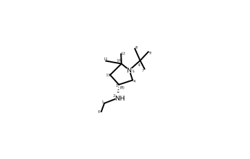 CCN[C@H]1CN(C(C)(C)C)C(C)(C)C1